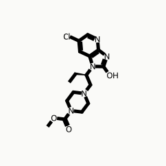 CC[C@H](CN1CCN(C(=O)OC)CC1)n1c(O)nc2ncc(Cl)cc21